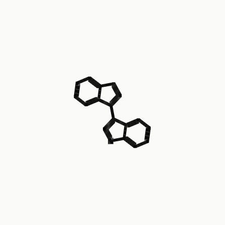 C1=Cc2ccccc2C=1C1=C=Nc2ccccc21